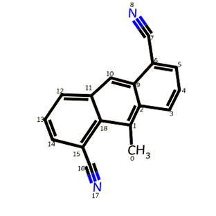 Cc1c2cccc(C#N)c2cc2cccc(C#N)c12